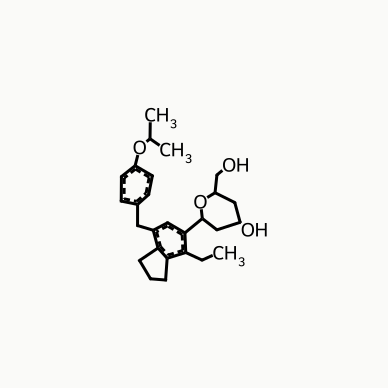 CCc1c(C2CC(O)CC(CO)O2)cc(Cc2ccc(OC(C)C)cc2)c2c1CCC2